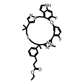 CCOC(=O)CCc1cccc(C2(C)CCSCC(C)(C)c3cnn(c3)Cc3c(c(F)cc4[nH]ccc34)Oc3ccc(F)c(c3)-c3nc2nn3C)c1